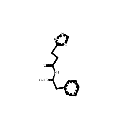 O=[C]C(Cc1ccccc1)NC(=S)CCc1nncs1